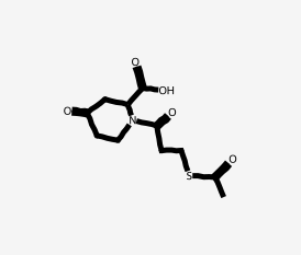 CC(=O)SCCC(=O)N1CCC(=O)CC1C(=O)O